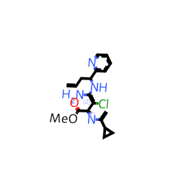 C=CCC(N/C(N)=C(Cl)/C(=N\C(=C)C1CC1)C(=O)OC)c1ccccn1